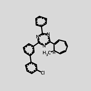 C[C@@H]1C=CC=CC=C1c1nc(-c2ccccc2)nc(-c2cccc(-c3cccc(Cl)c3)c2)n1